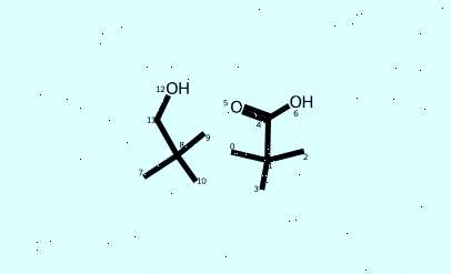 CC(C)(C)C(=O)O.CC(C)(C)CO